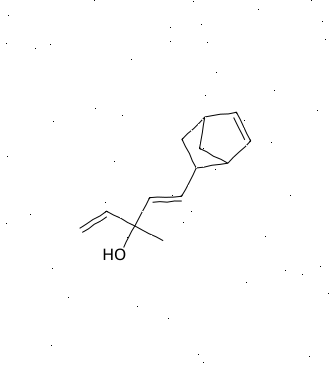 C=CC(C)(O)C=CC1CC2C=CC1C2